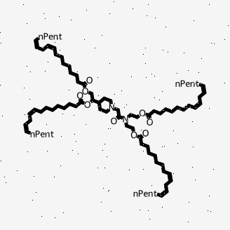 CCCCC/C=C\C/C=C\CCCCCCCC(=O)OCCN(CCOC(=O)CCCCCCC/C=C\C/C=C\CCCCC)C(=O)CN1CCC(C(COC(=O)CCCCCCC/C=C\C/C=C\CCCCC)OC(=O)CCCCCCC/C=C\C/C=C\CCCCC)CC1